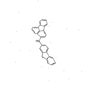 c1ccc2c(c1)-c1cccc3c(Nc4ccc5c(c4)sc4ccccc45)ccc-2c13